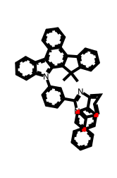 CC1(C)c2ccccc2-c2c1c1c(c3ccccc23)c2ccccc2n1-c1cccc(C2=N/C(c3ccccc3)=C/C=C/C(c3ccccc3)=N\2)c1